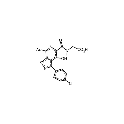 CC(=O)c1nc(C(=O)NCC(=O)O)c(O)c2c(-c3ccc(Cl)cc3)nsc12